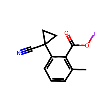 Cc1cccc(C2(C#N)CC2)c1C(=O)OI